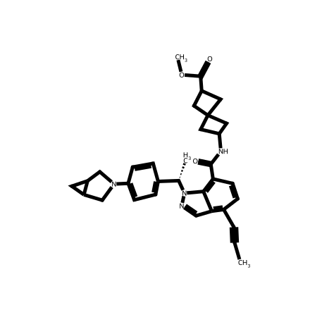 CC#Cc1ccc(C(=O)NC2CC3(C2)CC(C(=O)OC)C3)c2c1cnn2[C@@H](C)c1ccc(N2CC3CC3C2)cc1